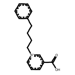 O=C(O)c1ccc[n+](CCCCc2ccccc2)c1